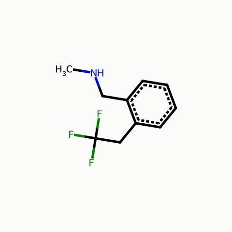 CNCc1ccccc1CC(F)(F)F